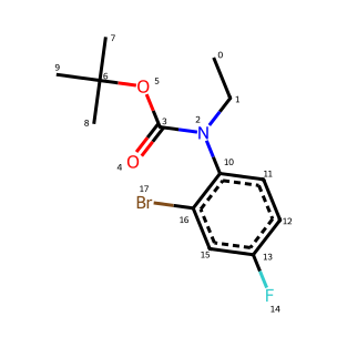 CCN(C(=O)OC(C)(C)C)c1ccc(F)cc1Br